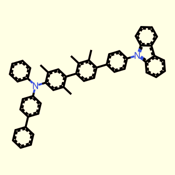 Cc1cc(N(c2ccccc2)c2ccc(-c3ccccc3)cc2)c(C)cc1-c1ccc(-c2ccc(-n3c4ccccc4c4ccccc43)cc2)c(C)c1C